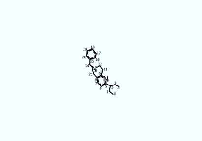 CCC(CC)c1ccc2c(n1)CCN(Cc1ccccc1)C2